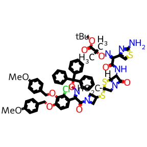 COc1ccc(COc2ccc(C(=NOC(c3ccccc3)(c3ccccc3)c3ccccc3)C(=O)N3CC(S[C@]4(C(=O)O)CN5C(=O)[C@@H](NC(=O)/C(=N\OC(C)(C)C(=O)OC(C)(C)C)c6csc(N)n6)[C@H]5S4)C3)c(Cl)c2OCc2ccc(OC)cc2)cc1